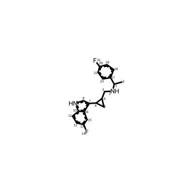 CC(NCC1CC1c1c[nH]c2ccc(F)cc12)c1ccc(F)cc1